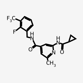 Cc1cc(C(=O)NCc2cccc(C(F)(F)F)c2F)cc(NC(=O)C2CC2)n1